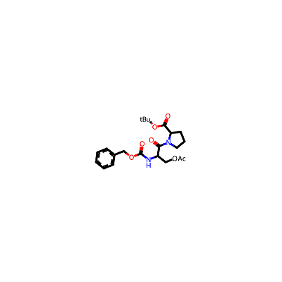 CC(=O)OCC(NC(=O)OCc1ccccc1)C(=O)N1CCCC1C(=O)OC(C)(C)C